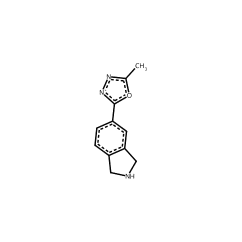 Cc1nnc(-c2ccc3c(c2)CNC3)o1